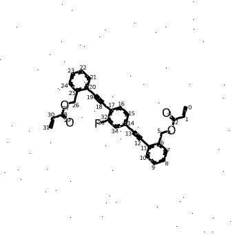 C=CC(=O)OCc1ccccc1C#Cc1ccc(C#Cc2ccccc2COC(=O)C=C)c(F)c1